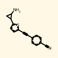 N#Cc1ccc(C#Cc2ccc(C3CC3N)s2)cc1